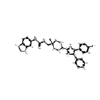 CC1(CNC(=S)Nc2ccc3c(c2)OCO3)COC(c2nc(-c3ccc(F)cc3)c(-c3ccncc3)[nH]2)OC1